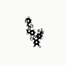 Cc1cc(C(=O)Nc2ccc3c(c2)CCN3C(=O)Cc2ccccn2)c(-c2ccc(C(F)(F)F)cc2)cc1C